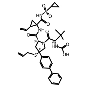 C=CCS[C@@]1(c2ccc(-c3ccccc3)cc2)C[C@@H](C(=O)NC2(C(=O)NS(=O)(=O)C3CC3)CC2C=C)N(C(=O)[C@@H](NC(=O)O)C(C)(C)C)C1